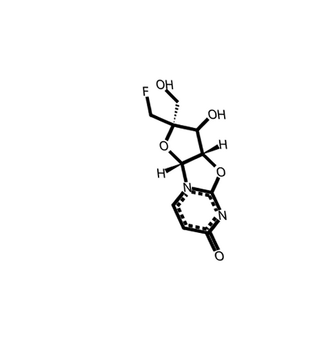 O=c1ccn2c(n1)O[C@H]1C(O)[C@](CO)(CF)O[C@H]12